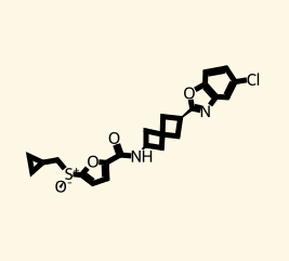 O=C(N[C@H]1CC2(C1)C[C@H](c1nc3cc(Cl)ccc3o1)C2)c1ccc([S@+]([O-])CC2CC2)o1